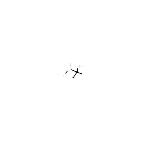 CCCCNC(C)(C)C(C)(C)C